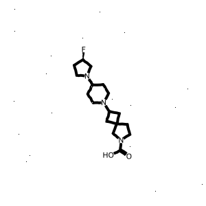 O=C(O)N1CCC2(CC(N3CCC(N4CC[C@@H](F)C4)CC3)C2)C1